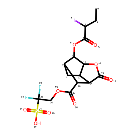 CCC(I)C(=O)OC1C2CC3C1OC(=O)C3C2C(=O)OCC(F)(F)S(=O)(=O)O